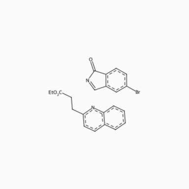 CCOC(=O)CCc1ccc2ccccc2n1.O=C1N=Cc2cc(Br)ccc21